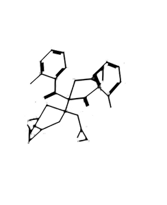 Cc1ccccc1C(=O)C(CC1CO1)(C(=O)c1ccccc1C)C(CC1CO1)(CC1CO1)CC1CO1